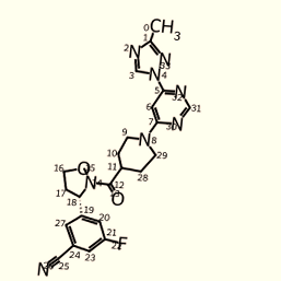 Cc1ncn(-c2cc(N3CCC(C(=O)N4OCC[C@H]4c4cc(F)cc(C#N)c4)CC3)ncn2)n1